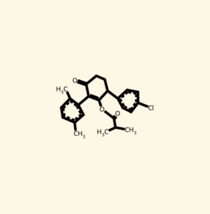 Cc1ccc(C)c(C2=C(OC(=O)C(C)C)C(c3ccc(Cl)cc3)CCC2=O)c1